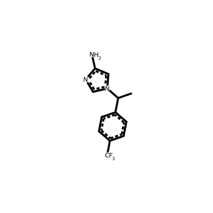 CC(c1ccc(C(F)(F)F)cc1)n1cnc(N)c1